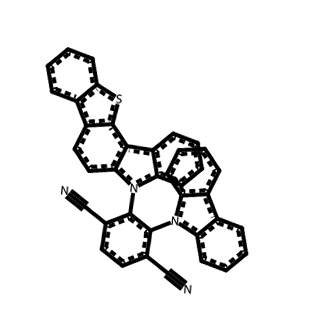 N#Cc1ccc(C#N)c(-n2c3ccccc3c3c4sc5ccccc5c4ccc32)c1-n1c2ccccc2c2ccccc21